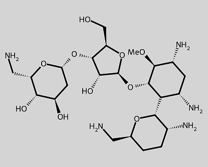 CO[C@H]1[C@H](N)C[C@H](N)C([C@H]2O[C@H](CN)CC[C@H]2N)[C@@H]1O[C@@H]1O[C@H](CO)[C@@H](O[C@@H]2C[C@@H](O)[C@H](O)[C@H](CN)O2)[C@H]1O